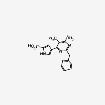 Cc1c(N)nc(Cc2ccccc2)nc1-c1c[nH]c(C(=O)O)c1